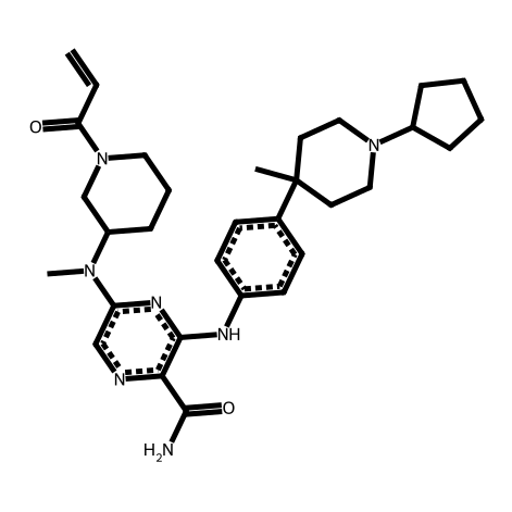 C=CC(=O)N1CCCC(N(C)c2cnc(C(N)=O)c(Nc3ccc(C4(C)CCN(C5CCCC5)CC4)cc3)n2)C1